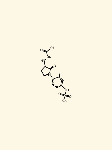 CS(=O)(=O)Nc1ccc(N2CCC(NNC(=O)O)C2=O)c(F)c1